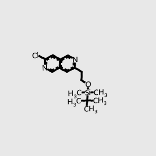 CC(C)(C)[Si](C)(C)OCCc1cc2cnc(Cl)cc2cn1